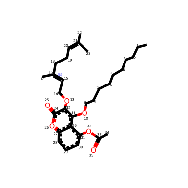 CCCCCCCCCCOc1c(OC/C=C(\C)CCC=C(C)C)c(=O)oc2cccc(OC(C)=O)c12